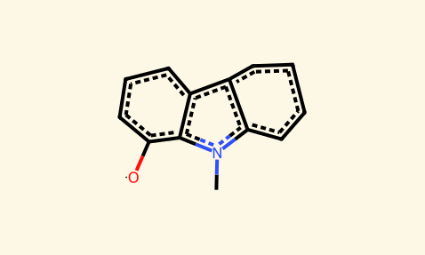 Cn1c2ccccc2c2cccc([O])c21